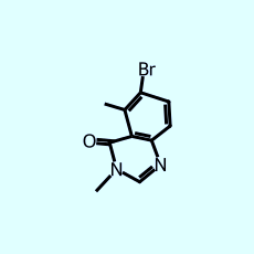 Cc1c(Br)ccc2ncn(C)c(=O)c12